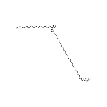 CCCCCCCCC=CCCCCCCCCCC(=O)OCCCCCCCCCCCCCCCCCCCCCCCCC(=O)O